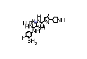 B/N=C(/NC(=O)C1=CC(C)C(C2CCNCC2)=N1)C(=N)C(=N)Nc1ccc(F)c(B)c1